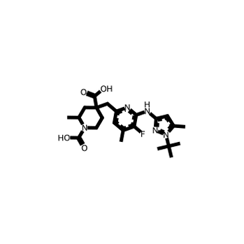 Cc1cc(CC2(C(=O)O)CCN(C(=O)O)C(C)C2)nc(Nc2cc(C)n(C(C)(C)C)n2)c1F